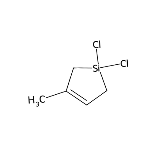 CC1=CC[Si](Cl)(Cl)C1